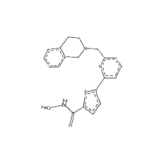 O=C(NO)c1ccc(-c2cccc(CN3CCc4ccccc4C3)n2)s1